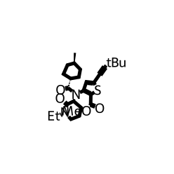 CCN1CCC[C@H](N(c2cc(C#CC(C)(C)C)sc2C(=O)OC)C(=O)[C@H]2CC[C@H](C)CC2)C1=O